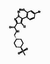 CCn1nc(C(=O)NC[C@H]2CC[C@H](S(C)(=O)=O)CC2)c(Cl)c1-c1ccc(Br)cc1OC